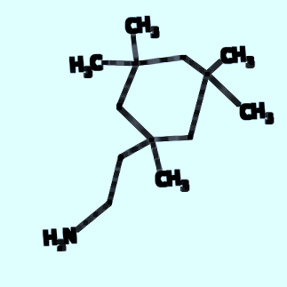 CC1(C)CC(C)(C)CC(C)(CCN)C1